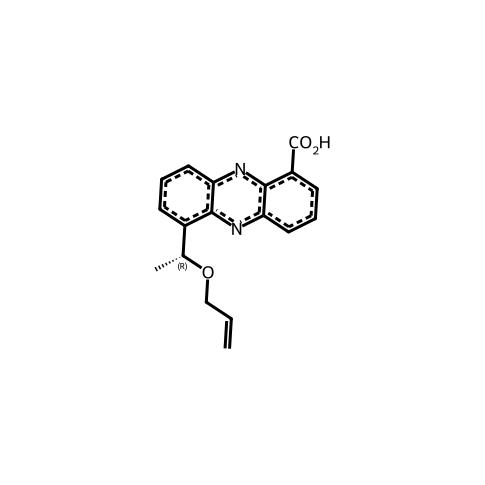 C=CCO[C@H](C)c1cccc2nc3c(C(=O)O)cccc3nc12